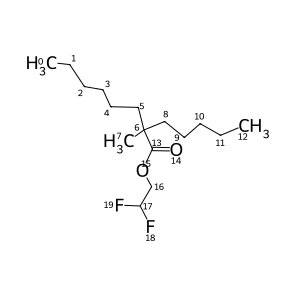 CCCCCCC(C)(CCCCC)C(=O)OCC(F)F